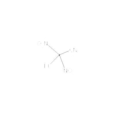 CCC(C#N)([N+](=O)[O-])[N+](=O)[O-]